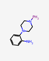 Nc1ccccc1N1CCN(P)CC1